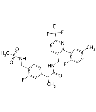 Cc1ccc(F)c(-c2nc(C(F)(F)F)ccc2CNC(=O)C(C)c2ccc(CNS(C)(=O)=O)c(F)c2)c1